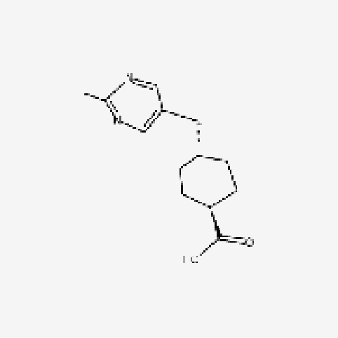 Cc1ncc(C[C@H]2CC[C@H](C(=O)O)CC2)cn1